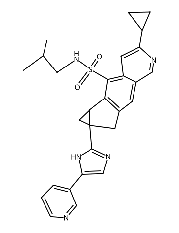 CC(C)CNS(=O)(=O)c1c2c(cc3cnc(C4CC4)cc13)CC1(c3ncc(-c4cccnc4)[nH]3)CC21